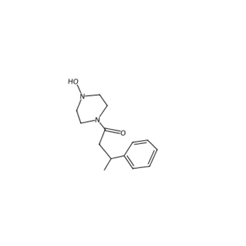 CC(CC(=O)N1CCN(O)CC1)c1ccccc1